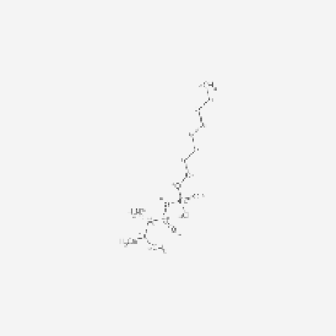 CCCCCCCOOP(=O)(Cl)OC(=O)[C@@H](N)C(C)C